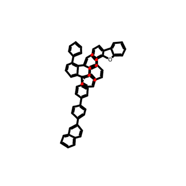 c1ccc(-c2ccccc2-c2c(-c3ccccc3)cccc2N(c2ccc(-c3ccc(-c4ccc5ccccc5c4)cc3)cc2)c2cccc(-c3cccc4c3oc3ccccc34)c2)cc1